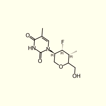 Cc1cn([C@@H]2COC(CO)[C@@H](C)[C@H]2F)c(=O)[nH]c1=O